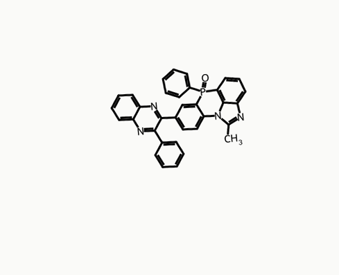 Cc1nc2cccc3c2n1-c1ccc(-c2nc4ccccc4nc2-c2ccccc2)cc1P3(=O)c1ccccc1